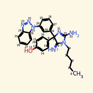 CCCCCN1C(=N)C(c2ccc(O)cc2)(c2cccc(-n3nnc4ccccc43)c2)N=C1N